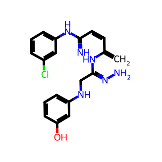 C=C(/C=C\C(=N)Nc1cccc(Cl)c1)N/C(CNc1cccc(O)c1)=N\N